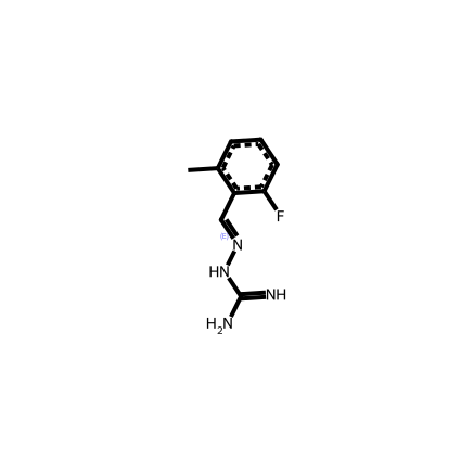 Cc1cccc(F)c1/C=N/NC(=N)N